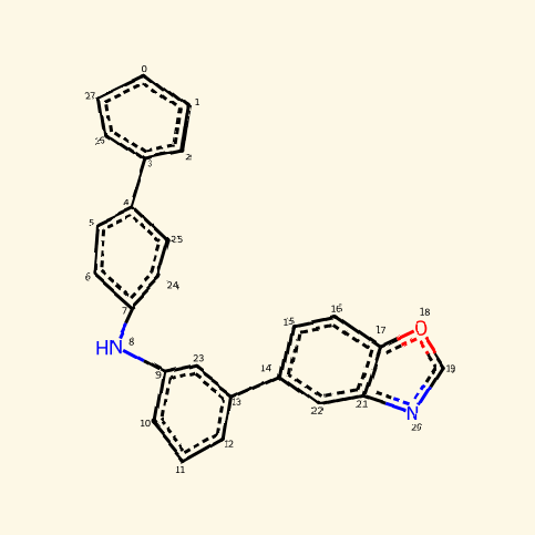 c1ccc(-c2ccc(Nc3cccc(-c4ccc5ocnc5c4)c3)cc2)cc1